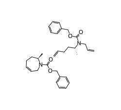 C=CCC[C@@H](C)N(CC=C)C(=O)OCc1ccccc1.C[C@@H]1CCC=CCN1C(=O)OCc1ccccc1